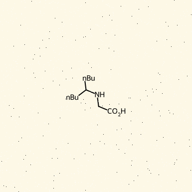 CCCCC(CCCC)NCC(=O)O